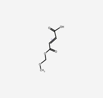 COCOC(=O)/C=C/C(=O)O